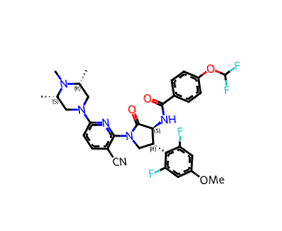 COc1cc(F)c([C@@H]2CN(c3nc(N4C[C@@H](C)N(C)[C@@H](C)C4)ccc3C#N)C(=O)[C@H]2NC(=O)c2ccc(OC(F)F)cc2)c(F)c1